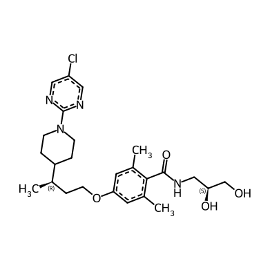 Cc1cc(OCC[C@@H](C)C2CCN(c3ncc(Cl)cn3)CC2)cc(C)c1C(=O)NC[C@H](O)CO